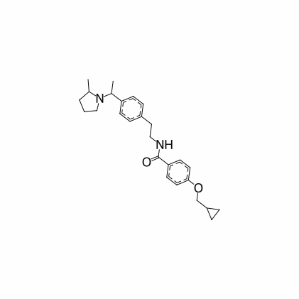 CC1CCCN1C(C)c1ccc(CCNC(=O)c2ccc(OCC3CC3)cc2)cc1